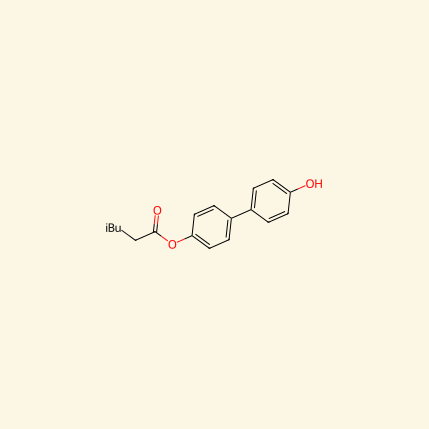 CCC(C)CC(=O)Oc1ccc(-c2ccc(O)cc2)cc1